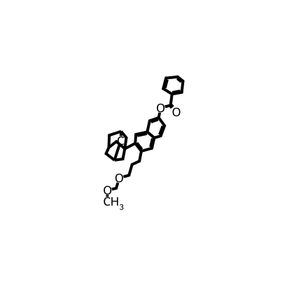 COCOCCCc1cc2ccc(OC(=O)c3ccccc3)cc2cc1C12CC3CC(CC(C3)C1)C2